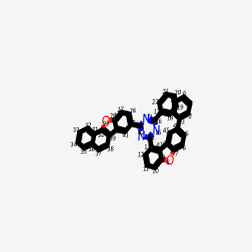 c1ccc(-c2ccc3oc4cccc(-c5nc(-c6ccccc6)nc(-c6ccc7oc8c9ccccc9ccc8c7c6)n5)c4c3c2)cc1